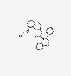 CCOc1cccc2c1CN(CC(=O)N1c3ccccc3OCC1c1ccccc1)CC2